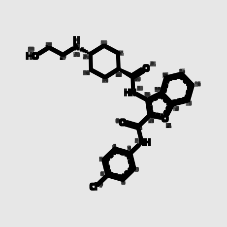 O=C(Nc1ccc(Cl)cc1)c1oc2ccccc2c1NC(=O)[C@H]1CC[C@H](NCCO)CC1